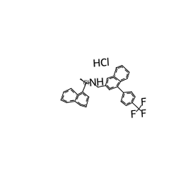 C[C@@H](NCc1cc(-c2ccc(C(F)(F)F)cc2)c2ccccc2c1)c1cccc2ccccc12.Cl